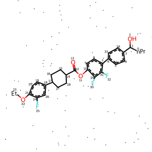 CCCC(O)c1ccc(-c2ccc(OC(=O)C3CCC(c4ccc(OCC)c(F)c4)CC3)c(F)c2F)cc1